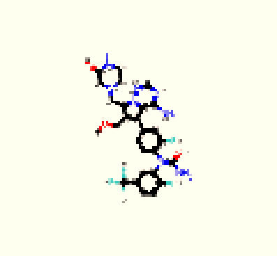 COCc1c(-c2ccc(N(C(N)=O)c3cc(C(F)(F)F)ccc3F)c(F)c2)c2c(N)ncnn2c1CN1CCNC(=O)C1